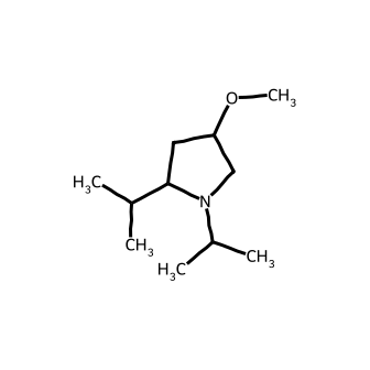 COC1CC(C(C)C)N(C(C)C)C1